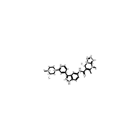 CC1=C(C(=O)Nc2ccc3[nH]nc(-c4ccnc(N5CCN(C)[C@@H](C)C5)c4)c3c2)[C@H](C)n2nnnc2N1C